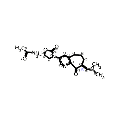 CC(=O)NC[C@H]1CN(c2cnc3c(c2)CCC/C(=C\N(C)C)C3=O)C(=O)O1